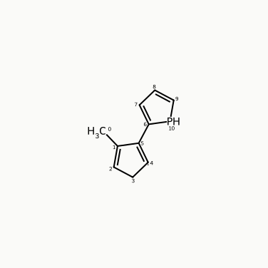 CC1=CC[C]=C1c1ccc[pH]1